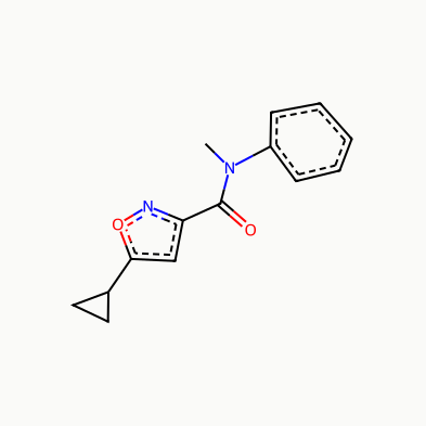 CN(C(=O)c1cc(C2CC2)on1)c1ccccc1